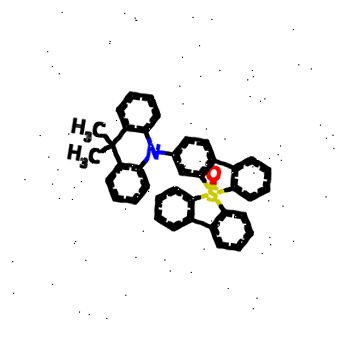 CC1(C)c2ccccc2N(c2ccc3c(c2)S2(=O)(c4ccccc4-c4ccccc42)c2ccccc2-3)c2ccccc21